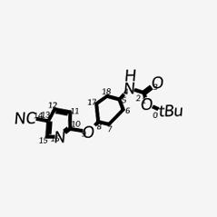 CC(C)(C)OC(=O)NC1CCC(Oc2ccc(C#N)cn2)CC1